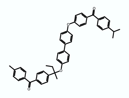 CCC(C)(Oc1ccc(-c2ccc(Oc3ccc(C(=O)c4ccc(C(C)C)cc4)cc3)cc2)cc1)c1ccc(C(=O)c2ccc(C)cc2)cc1